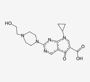 O=C(O)c1cn(C2CC2)c2nc(N3CCN(CCO)CC3)ncc2c1=O